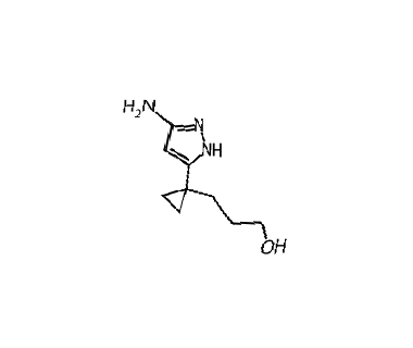 Nc1cc(C2(CCCO)CC2)[nH]n1